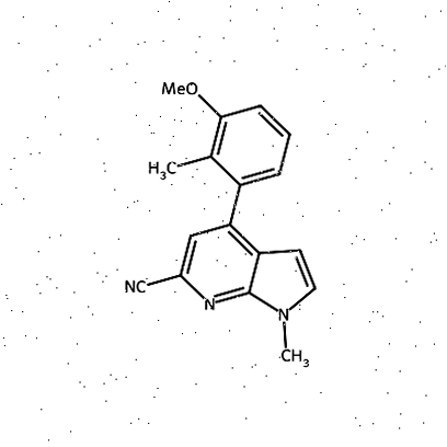 COc1cccc(-c2cc(C#N)nc3c2ccn3C)c1C